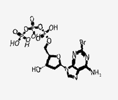 Nc1nc(Br)nc2c1ncn2[C@H]1C[C@H](O)[C@@H](COP(=O)(O)OP(=O)(O)OP(=O)(O)O)O1